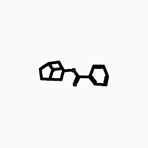 CN1C2CCC1CC(OC(=O)c1ccccc1)C2